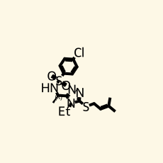 CCn1c(SCC=C(C)C)nnc1[C@@H](C)NS(=O)(=O)c1ccc(Cl)cc1